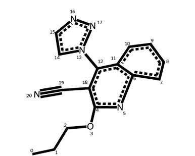 CCCOc1nc2ccccc2c(-n2ccnn2)c1C#N